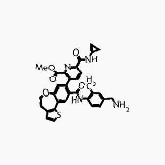 COC(=O)c1nc(C(=O)NC2CC2)ccc1-c1cc2c(cc1C(=O)Nc1ccc(CN)cc1C)-c1sccc1CCO2